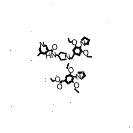 CCOC(=O)c1cc(OCC)c(-n2cccc2)c(OCC)c1.CCOc1cc(CN2CCC(NC(=O)c3cncc(C)c3)CC2)cc(OCC)c1-n1cccc1